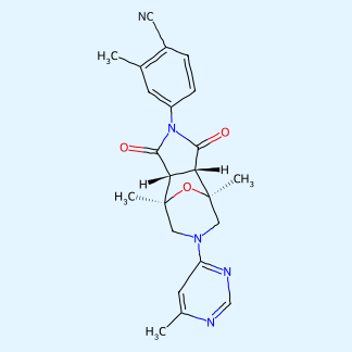 Cc1cc(N2C[C@@]3(C)O[C@@](C)(C2)[C@@H]2C(=O)N(c4ccc(C#N)c(C)c4)C(=O)[C@@H]23)ncn1